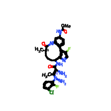 COC(=O)Nc1ccc2c(c1)NC(=O)[C@@H](C)CCCC(NC(=O)/C(N)=C(\C)N(N)c1cccc(Cl)c1F)c1cc-2c(F)cn1